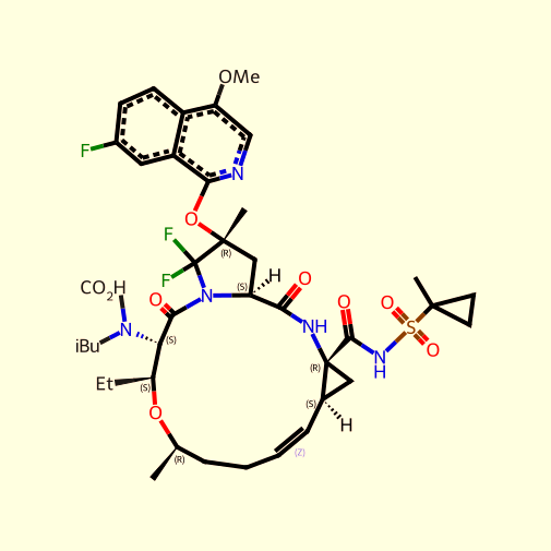 CCC(C)N(C(=O)O)[C@@H]1C(=O)N2[C@@H](C[C@@](C)(Oc3ncc(OC)c4ccc(F)cc34)C2(F)F)C(=O)N[C@]2(C(=O)NS(=O)(=O)C3(C)CC3)C[C@H]2/C=C\CC[C@@H](C)O[C@H]1CC